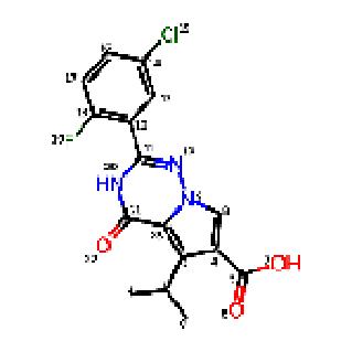 CC(C)c1c(C(=O)O)cn2nc(-c3cc(Cl)ccc3F)[nH]c(=O)c12